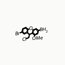 Bc1cc(OC)c2c(c1)Oc1ccc(Br)cc1C2CCl